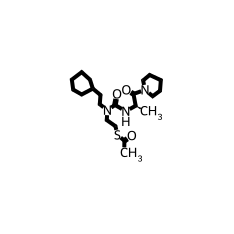 CC(=O)SCCN(CCC1CCCCC1)C(=O)N[C@@H](C)C(=O)N1CCCCC1